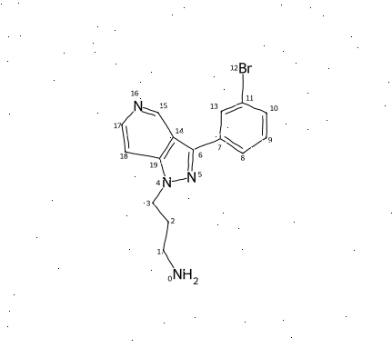 NCCCn1nc(-c2cccc(Br)c2)c2cnccc21